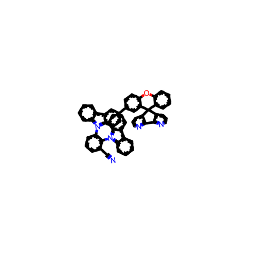 N#Cc1cccc(-n2c3ccccc3c3cc(-c4ccc5c(c4)C4(c6ccccc6O5)c5cccnc5-c5ncccc54)ccc32)c1-n1c2ccccc2c2ccccc21